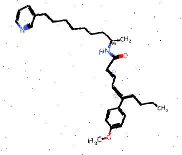 CCCC/C(=C\C=C\C(=O)N[C@H](C)CCCCCCCc1cccnc1)c1ccc(OC)cc1